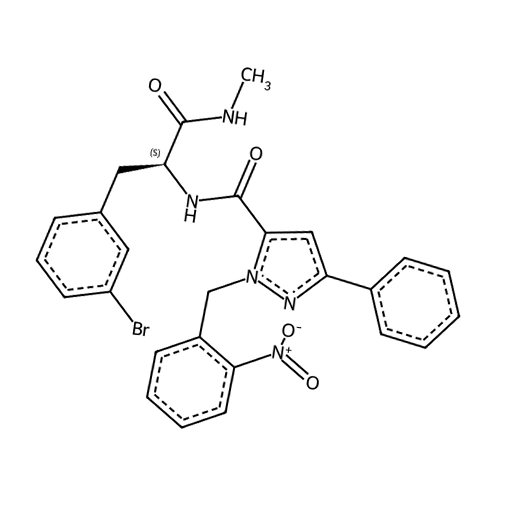 CNC(=O)[C@H](Cc1cccc(Br)c1)NC(=O)c1cc(-c2ccccc2)nn1Cc1ccccc1[N+](=O)[O-]